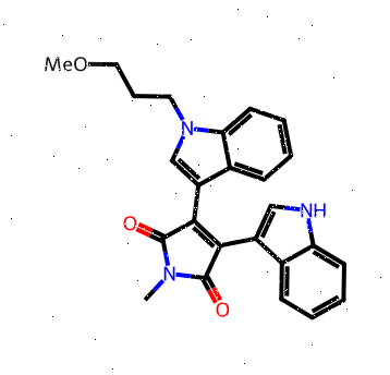 COCCCn1cc(C2=C(c3c[nH]c4ccccc34)C(=O)N(C)C2=O)c2ccccc21